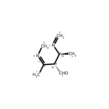 C=N[C@@H](C)[C@H](C=O)/C(C)=N\C